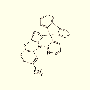 Cc1ccc2c(c1)N1c3ncccc3C3(c4ccccc4-c4ccccc43)c3cccc(c31)S2